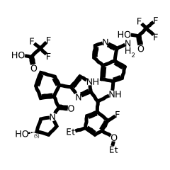 CCOc1cc(CC)cc(C(Nc2ccc3c(N)nccc3c2)c2nc(-c3ccccc3C(=O)N3CC[C@H](O)C3)c[nH]2)c1F.O=C(O)C(F)(F)F.O=C(O)C(F)(F)F